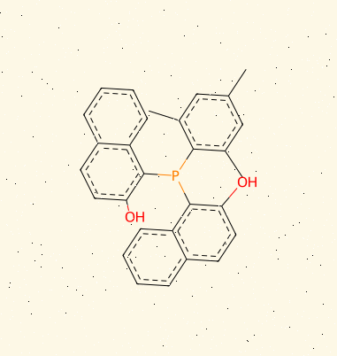 Cc1cc(C)c(P(c2c(O)ccc3ccccc23)c2c(O)ccc3ccccc23)c(C)c1